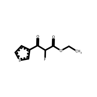 CCOC(=O)C(F)C(=O)c1ccsc1